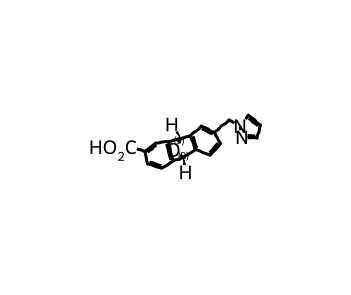 O=C(O)c1ccc2c(c1)[C@H]1O[C@@H]2c2ccc(Cn3cccn3)cc21